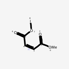 COC(=O)/C=C\C(=O)OI